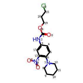 O=C(Nc1ccc(N2CCCCC2)c([N+](=O)[O-])c1)OCCCCl